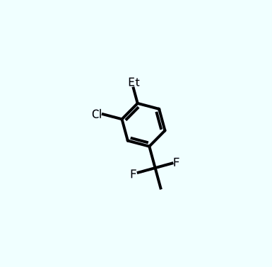 CCc1ccc(C(C)(F)F)cc1Cl